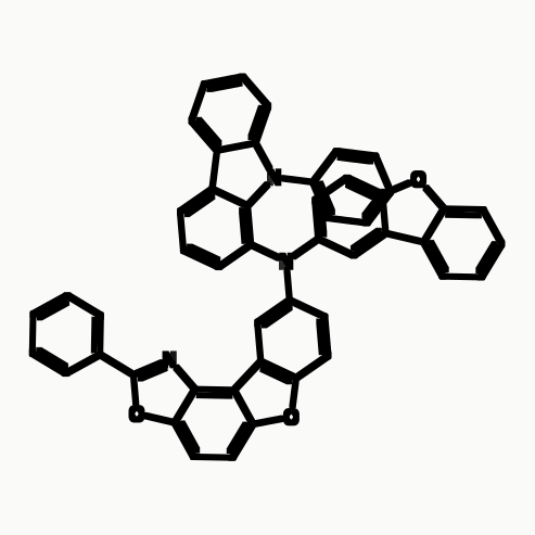 c1ccc(-c2nc3c(ccc4oc5ccc(N(c6ccc7oc8ccccc8c7c6)c6cccc7c8ccccc8n(-c8ccccc8)c67)cc5c43)o2)cc1